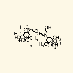 CN(CCOOCCN(CCO)C1CC(C)(C)N(O)C(C)(C)C1)C1CC(C)(C)N(O)C(C)(C)C1